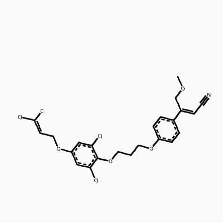 COCC(=CC#N)c1ccc(OCCCOc2c(Cl)cc(OCC=C(Cl)Cl)cc2Cl)cc1